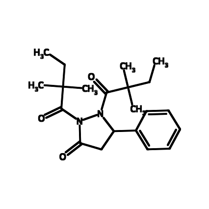 CCC(C)(C)C(=O)N1C(=O)CC(c2ccccc2)N1C(=O)C(C)(C)CC